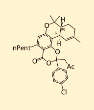 CCCCCc1cc2c(c3c1C(=O)OC(CC(C)=O)(c1ccc(Cl)cc1)O3)[C@@H]1C=C(C)CC[C@H]1C(C)(C)O2